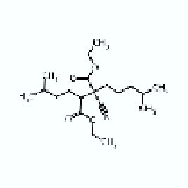 CCOC(=O)C(CCC(C)C)C(C#N)(CCCC(C)C)C(=O)OCC